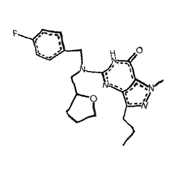 CCCc1nn(C)c2c(=O)[nH]c(N(Cc3ccc(F)cc3)CC3CCCO3)nc12